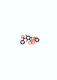 Cc1ccccc1P(=O)(O)C(=O)c1c(C)cc(C)c(C(=O)c2ccccc2)c1C